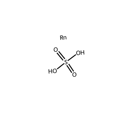 O=S(=O)(O)O.[Rn]